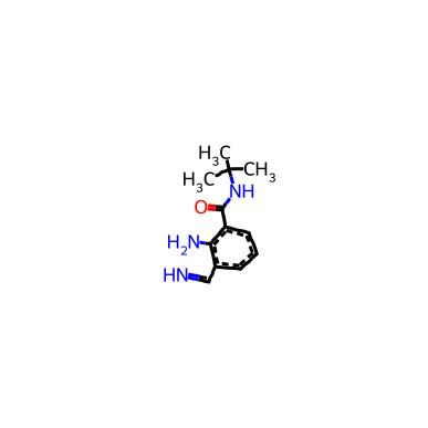 CC(C)(C)NC(=O)c1cccc(C=N)c1N